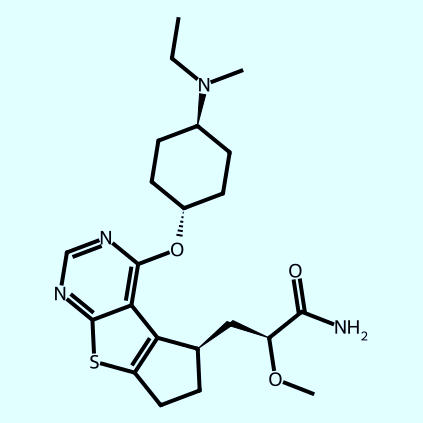 CCN(C)[C@H]1CC[C@H](Oc2ncnc3sc4c(c23)[C@@H](C[C@H](OC)C(N)=O)CC4)CC1